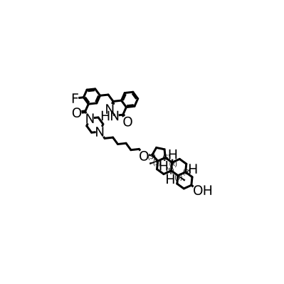 C[C@]12CCC(O)C[C@@H]1CC[C@@H]1[C@@H]2CC[C@]2(C)[C@@H](OCCCCCCN3CCN(C(=O)c4cc(Cc5n[nH]c(=O)c6ccccc56)ccc4F)CC3)CC[C@@H]12